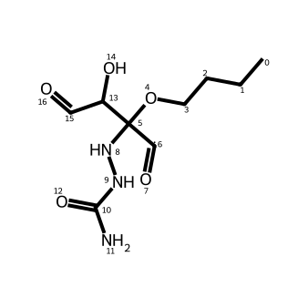 CCCCOC([C]=O)(NNC(N)=O)C(O)C=O